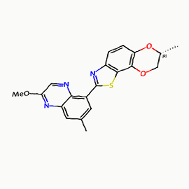 [CH2][C@@H]1COc2c(ccc3nc(-c4cc(C)cc5nc(OC)cnc45)sc23)O1